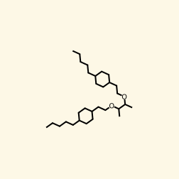 CCCCCC1CCC(CCOC(C)C(C)OCCC2CCC(CCCCC)CC2)CC1